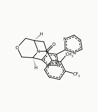 Cc1c(C(=O)N2[C@H]3COC[C@@H]2c2nnc(-c4ncccn4)n2C3)cccc1C(F)(F)F